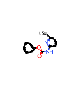 CC(C)(C)c1cccc(NC(=O)Oc2ccccc2)n1